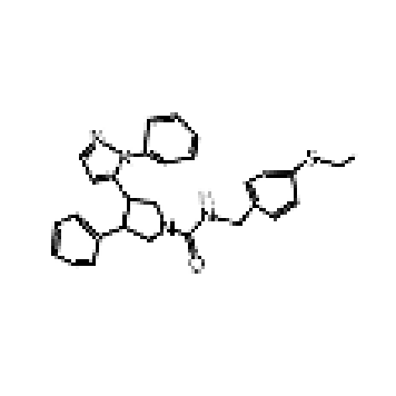 CCSc1ccc(CNC(=O)N2CC(c3ccccc3)C(c3ccnn3-c3ccccc3)C2)cc1